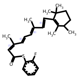 CC1=C(/C=C/C(C)=C/C=C/C(C)=C\C(=O)Sc2ccccc2F)C(C)(C)CCC1C